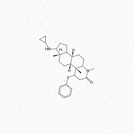 CN1C(=O)CC(Sc2ccccc2)[C@@]2(C)C1CC[C@@H]1[C@H]2CC[C@]2(C)C(NC3CC3)CC[C@@H]12